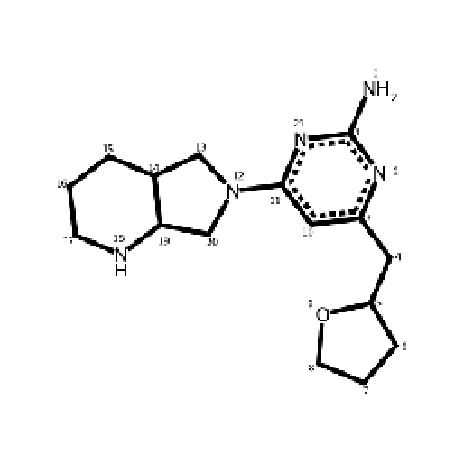 Nc1nc(CC2CCCO2)cc(N2CC3CCCNC3C2)n1